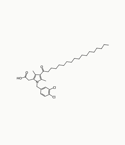 CCCCCCCCCCCCCCCCCC(=O)c1c(C)c(CC(=O)O)n(Cc2ccc(Cl)c(Cl)c2)c1C